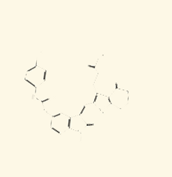 COc1ccc(NC(=O)Nc2ccc3c(c2)C(=Cc2[nH]c4c(c2CCC(=O)O)C(=O)CCC4)C(=O)N3)cc1